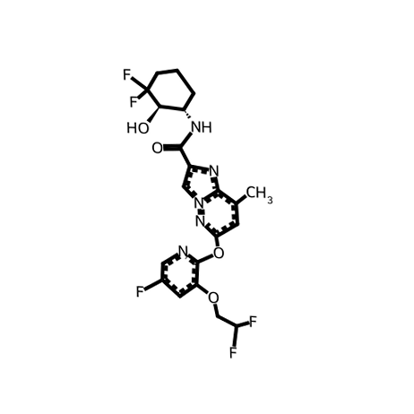 Cc1cc(Oc2ncc(F)cc2OCC(F)F)nn2cc(C(=O)N[C@H]3CCCC(F)(F)[C@@H]3O)nc12